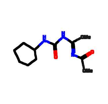 COC(=O)N=C(NC(=O)NC1CCCCC1)OC